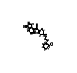 Clc1ccccc1CCOC1CCC(Nc2ncnc3[nH]ncc23)CC1